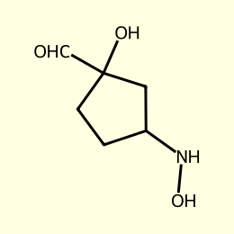 O=CC1(O)CCC(NO)C1